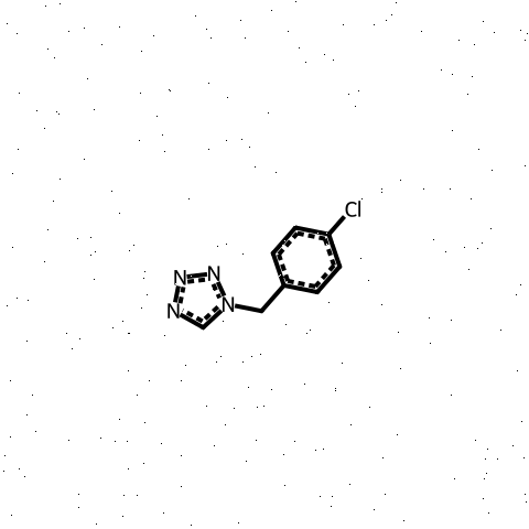 Clc1ccc(Cn2cnnn2)cc1